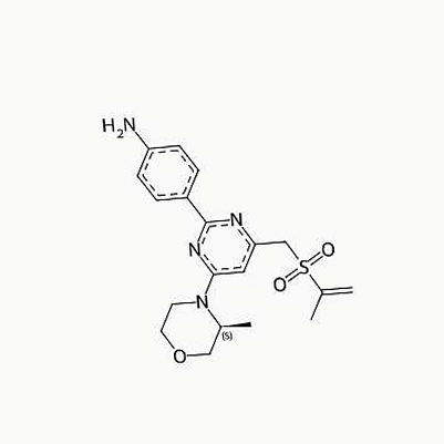 C=C(C)S(=O)(=O)Cc1cc(N2CCOC[C@@H]2C)nc(-c2ccc(N)cc2)n1